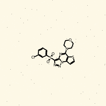 O=S(=O)(c1cccc(Cl)c1)c1nnn2c1nc(N1CCOCC1)c1sccc12